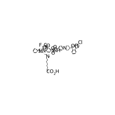 CN(CCCCCCCC(=O)O)CC[C@H](CSc1ccccc1)Nc1ccc(S(=O)(=O)NC(=O)c2ccc(N3CCC([C@@H](O)c4ccccc4-c4ccc(Cl)cc4)CC3)cc2)cc1S(=O)(=O)C(F)(F)F